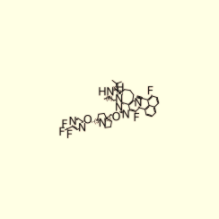 C#Cc1c(F)ccc2cccc(-c3nc4c5c(nc(OC[C@@]67CCCN6[C@H](COc6cnc(C(F)(F)F)cn6)CC7)nc5c3F)N3C[C@@H](C)N[C@@H](C(C)C)[C@H]3CCC4)c12